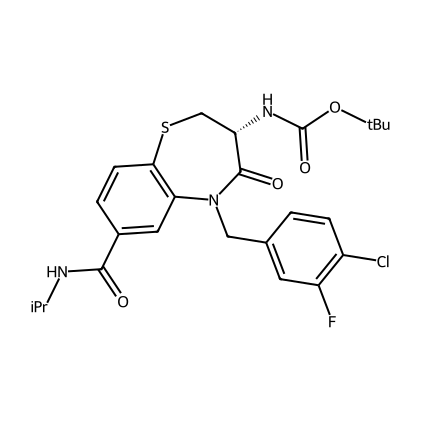 CC(C)NC(=O)c1ccc2c(c1)N(Cc1ccc(Cl)c(F)c1)C(=O)[C@@H](NC(=O)OC(C)(C)C)CS2